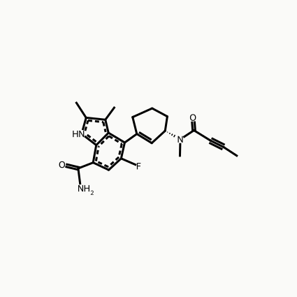 CC#CC(=O)N(C)[C@@H]1C=C(c2c(F)cc(C(N)=O)c3[nH]c(C)c(C)c23)CCC1